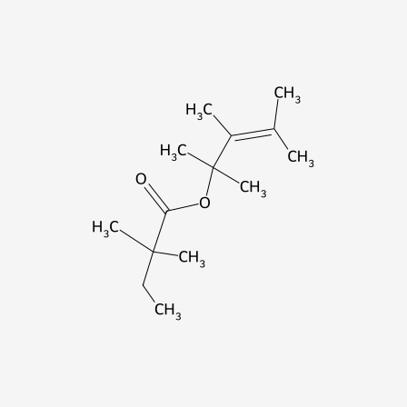 CCC(C)(C)C(=O)OC(C)(C)C(C)=C(C)C